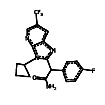 NC(=O)C(c1ccc(F)cc1)c1nc2cc(C(F)(F)F)cnc2n1C1CCC1